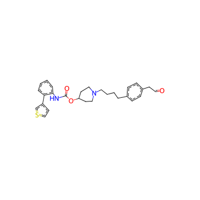 O=CCc1ccc(CCCCN2CCC(OC(=O)Nc3ccccc3-c3ccsc3)CC2)cc1